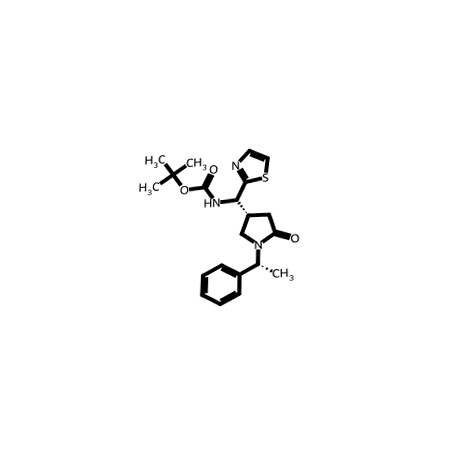 C[C@H](c1ccccc1)N1C[C@H](C(NC(=O)OC(C)(C)C)c2nccs2)CC1=O